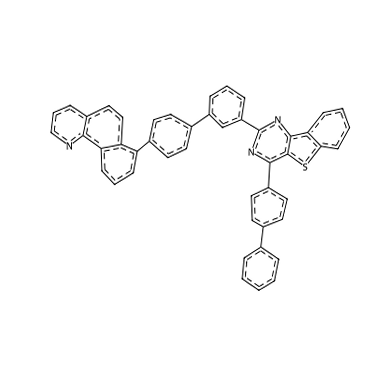 c1ccc(-c2ccc(-c3nc(-c4cccc(-c5ccc(-c6cccc7c6ccc6cccnc67)cc5)c4)nc4c3sc3ccccc34)cc2)cc1